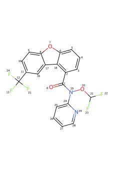 O=C(c1cccc2oc3ccc(C(F)(F)F)cc3c12)N(OC(F)F)c1ccccn1